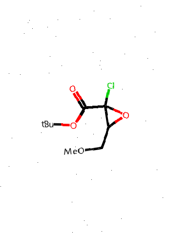 COCC1OC1(Cl)C(=O)OC(C)(C)C